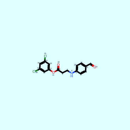 O=Cc1ccc(NCCC(=O)Oc2cc(Cl)cc(Cl)c2)cc1